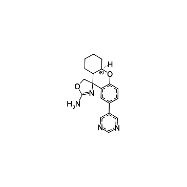 NC1=NC2(CO1)c1cc(-c3cncnc3)ccc1O[C@@H]1CCCCC12